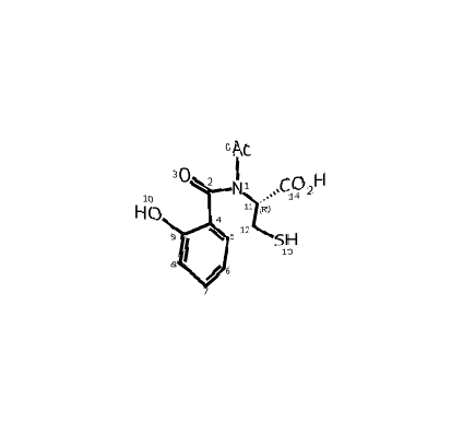 CC(=O)N(C(=O)c1ccccc1O)[C@@H](CS)C(=O)O